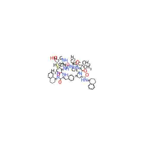 CN[C@@H](C)C(=O)N[C@H](C(=O)N1C[C@@H](c2ccc(C[C@H](NC(=O)[C@@H](NC(=O)[C@H](C)NC)C(C)(C)SCCO)C(=O)N[C@@H]3CCCc4ccccc43)cc2)C[C@H]1C(=O)N[C@@H]1CCCc2ccccc21)C(C)(C)C